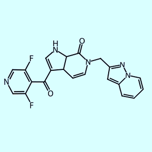 O=C(C1=CNC2C(=O)N(Cc3cc4ccccn4n3)C=CC12)c1c(F)cncc1F